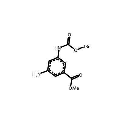 COC(=O)c1cc(N)cc(NC(=O)OC(C)(C)C)c1